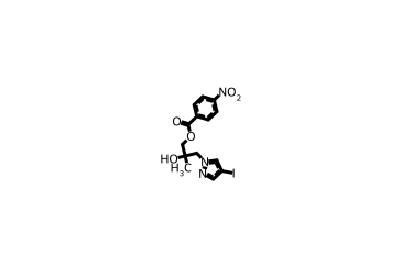 CC(O)(COC(=O)c1ccc([N+](=O)[O-])cc1)Cn1cc(I)cn1